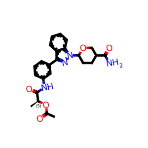 CC(=O)O[C@@H](C)C(=O)Nc1cccc(-c2nn(C3CCC(C(N)=O)CO3)c3ccccc23)c1